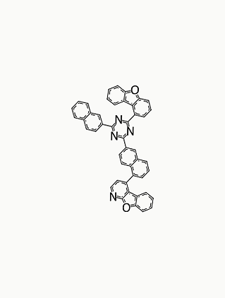 c1ccc2cc(-c3nc(-c4ccc5c(-c6ccnc7oc8ccccc8c67)cccc5c4)nc(-c4cccc5oc6ccccc6c45)n3)ccc2c1